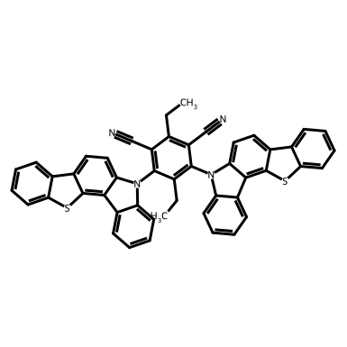 CCc1c(C#N)c(-n2c3ccccc3c3c4sc5ccccc5c4ccc32)c(CC)c(-n2c3ccccc3c3c4sc5ccccc5c4ccc32)c1C#N